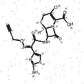 C#CCO/N=C(\C(=O)NC1C(=O)N2C(C(=O)O)=C(Cl)CS[C@H]12)c1csc(N)n1